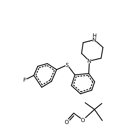 CC(C)(C)OC=O.Fc1ccc(Sc2ccccc2N2CCNCC2)cc1